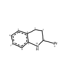 CC(C)C1CCc2ccncc2N1